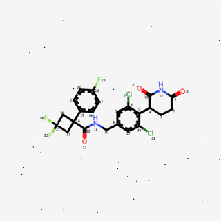 O=C1CCC(c2c(Cl)cc(CNC(=O)C3(c4ccc(F)cc4)CC(F)(F)C3)cc2Cl)C(=O)N1